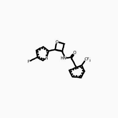 O=C(NC1COC1c1ccc(F)cn1)c1ccccc1C(F)(F)F